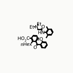 CCCCCCc1c(C(=O)O)cccc1C(=O)c1ccccc1O.CCN(CC)CC(=O)Nc1c(C)cccc1C